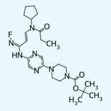 CCC(=O)N(/C=C/C(=N\F)Nc1cnc(N2CCN(C(=O)OC(C)(C)C)CC2)cn1)C1CCCC1